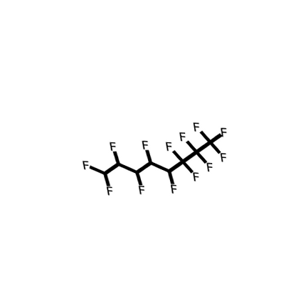 FC(F)C(F)C(F)C(F)C(F)C(F)(F)C(F)(F)C(F)(F)F